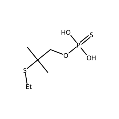 CCSC(C)(C)COP(O)(O)=S